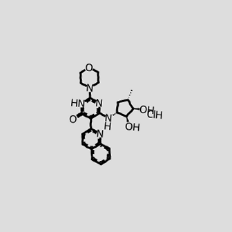 C[C@H]1C[C@@H](Nc2nc(N3CCOCC3)[nH]c(=O)c2-c2ccc3ccccc3n2)[C@H](O)[C@@H]1O.Cl